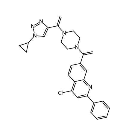 C=C(c1ccc2c(Cl)cc(-c3ccccc3)nc2c1)N1CCN(C(=C)c2cn(C3CC3)nn2)CC1